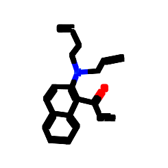 C=CCN(CCC=O)c1ccc2ccccc2c1C(=O)OC